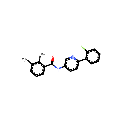 CCCCc1c(C(=O)Nc2ccc(-c3ccccc3F)nc2)cccc1[N+](=O)[O-]